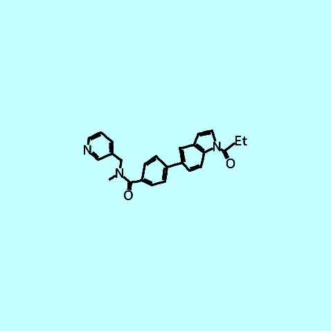 CCC(=O)n1ccc2cc(-c3ccc(C(=O)N(C)Cc4cccnc4)cc3)ccc21